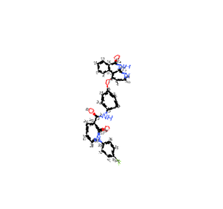 O=C(Nc1ccc(Oc2ccnc3[nH]c(=O)c4ccccc4c23)cc1)c1cccn(-c2ccc(F)cc2)c1=O